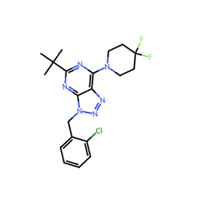 CC(C)(C)c1nc(N2CCC(F)(F)CC2)c2nnn(Cc3ccccc3Cl)c2n1